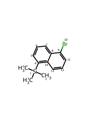 C[Si](C)(C)c1cccc2c(Br)cccc12